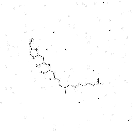 C=C(C)C(C=CC=CC(C)COCCCCNC)/N=C(\S)CC1=NC(C=O)CS1